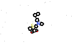 c1ccc(N(c2ccc(-c3cccc4ccccc34)cc2)c2ccc3c(c2)Sc2ccccc2C32c3ccccc3-c3ccccc32)cc1